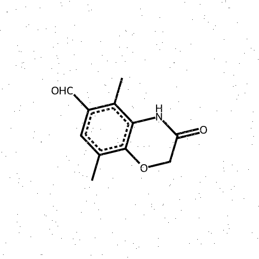 Cc1cc(C=O)c(C)c2c1OCC(=O)N2